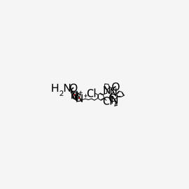 NC(=O)C[N+]12CC[N+](CCCCCc3cc(Cl)c(CN4CCCC4C(=O)N4CCN(C5CC5)c5ccccc54)cc3Cl)(CC1)CC2